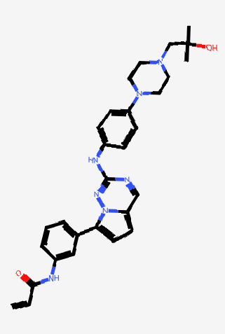 C=CC(=O)Nc1cccc(-c2ccc3cnc(Nc4ccc(N5CCN(CC(C)(C)O)CC5)cc4)nn23)c1